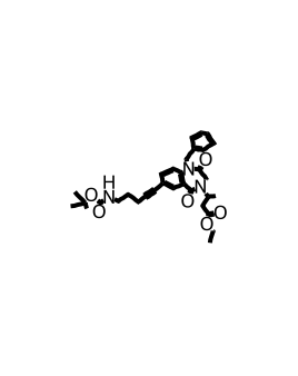 CCOC(=O)CC(C)N1CC(=O)N(Cc2ccccc2)c2ccc(C#CCCCNC(=O)OC(C)(C)C)cc2C1=O